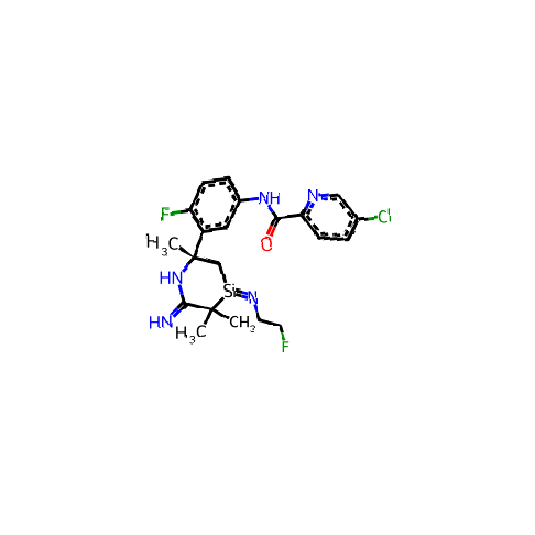 CC1(C)C(=N)N[C@](C)(c2cc(NC(=O)c3ccc(Cl)cn3)ccc2F)C/[Si]1=N/CCF